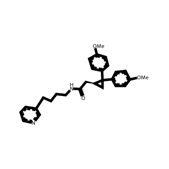 COc1ccc(C2(c3ccc(OC)cc3)C[C@H]2CC(=O)NCCCCc2cccnc2)cc1